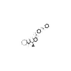 O=C1CCCCCc2oc(=O)c(C(c3cccc(NS(=O)(=O)c4ccc(N=Nc5ccccc5)cc4)c3)C3CC3)c(O)c21